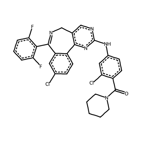 O=C(c1ccc(Nc2ncc3c(n2)-c2ccc(Cl)cc2C(c2c(F)cccc2F)=NC3)cc1Cl)N1CCCCC1